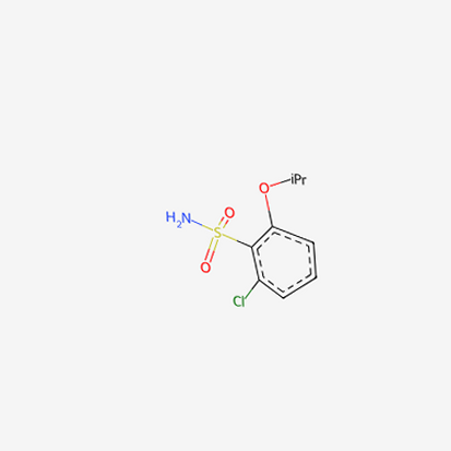 CC(C)Oc1cccc(Cl)c1S(N)(=O)=O